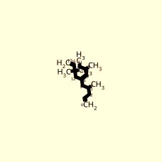 C=CCC(C)CC(=CC(C)CC)CC(C)(C)C=C